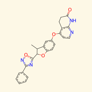 CC1c2cc(Oc3ccnc4c3CCC(=O)N4)ccc2OC1c1nc(-c2ccccc2)no1